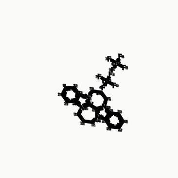 F[B-](F)(F)F.F[B-](F)(F)F.c1ccc2c(c1)n1c3[n+]2CCCn2c-3[n+](c3ccccc32)CCC1